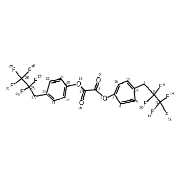 O=C(Oc1ccc(CC(F)(F)C(F)(F)F)cc1)C(=O)Oc1ccc(CC(F)(F)C(F)(F)F)cc1